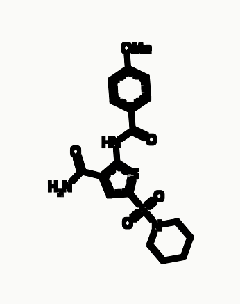 COc1ccc(C(=O)Nc2sc(S(=O)(=O)N3CCCCC3)cc2C(N)=O)cc1